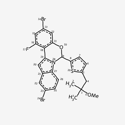 COC(C)(C)Cc1ccc(C2Oc3cc(Br)cc(F)c3-c3cc4cc(Br)ccc4n32)s1